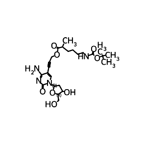 CC(CCCCNC(=O)OC(C)(C)C)C(=O)OCC#Cc1cn([C@H]2CC(O)[C@@H](CO)O2)c(=O)nc1N